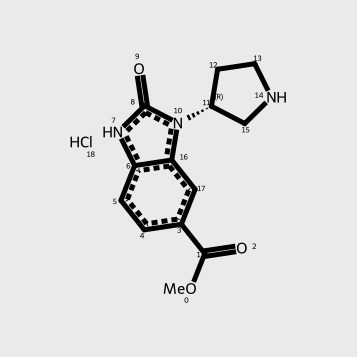 COC(=O)c1ccc2[nH]c(=O)n([C@@H]3CCNC3)c2c1.Cl